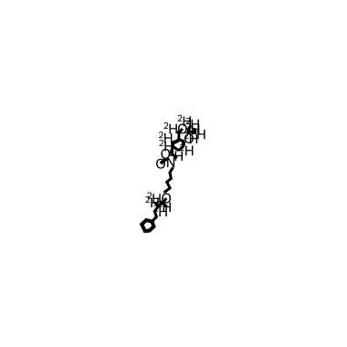 [2H]C1=C2OC(C([2H])[2H])(C([2H])([2H])[2H])OC([2H])C2=C([2H])C([2H])(C2CN(CCCCCCOC([2H])([2H])C([2H])([2H])CCc3ccccc3)C(=O)O2)C1[2H]